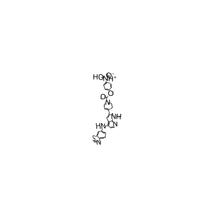 O=C(Oc1ccc([NH+]([O-])O)cc1)N1CC=C(c2cc3c(Nc4ccc5ncsc5c4)ccnc3[nH]2)CC1